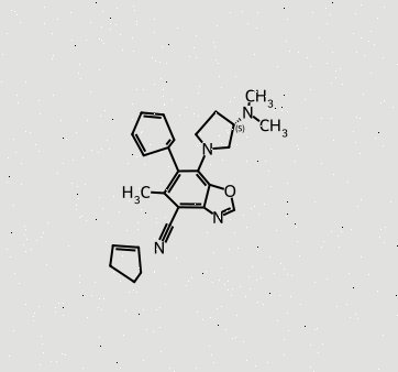 C1=CCCC1.Cc1c(-c2ccccc2)c(N2CC[C@H](N(C)C)C2)c2ocnc2c1C#N